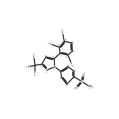 NS(=O)(=O)c1ccc(-n2nc(C(F)(F)F)cc2-c2c(F)ccc(F)c2F)cc1